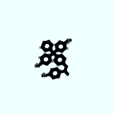 CC(Cc1ccc(C(c2ccccc2)(c2ccc(O)cc2)c2ccc(O)cc2)cc1)c1ccc(O)cc1